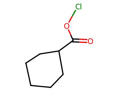 O=C(OCl)C1CCCCC1